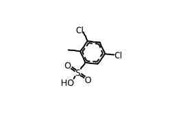 Cc1c(Cl)cc(Cl)cc1S(=O)(=O)O